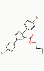 CCCCOC(=O)c1cc(-c2ccc(Br)cc2)ccc1-c1ccc(Br)cc1